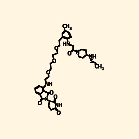 C=CSNC1CCN(C(=O)CNc2ccc(C)cc2CCOCCOCCOCCNc2cccc3c2C(=O)N(C2CCC(=O)NC2=O)C3=O)CC1